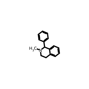 CN1CCc2ccccc2C1c1ccccc1